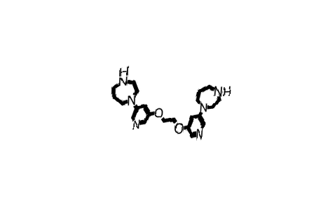 c1ncc(N2CCCNCC2)cc1OCCOc1cncc(N2CCCNCC2)c1